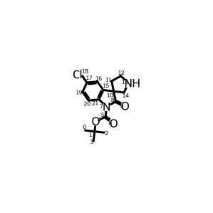 CC(C)(C)OC(=O)N1C(=O)C2(CCNC2)c2cc(Cl)ccc21